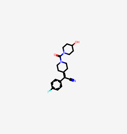 N#CC(=C1CCN(C(=O)N2CCC(O)CC2)CC1)c1ccc(F)cc1